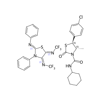 C[C@H]1[C@H](c2ccc(Cl)cc2)SC(=O)N1C(=O)NC1CCCCC1.FC(F)(F)/N=C1\S/C(=N\c2ccccc2)N(c2ccccc2)\C1=N\C(F)(F)F